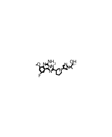 COc1cc(F)cc2c1nc(N)n1nc(C3CCCN(c4cnn([C@H](C)[C@@H](C)O)c4)C3)nc21